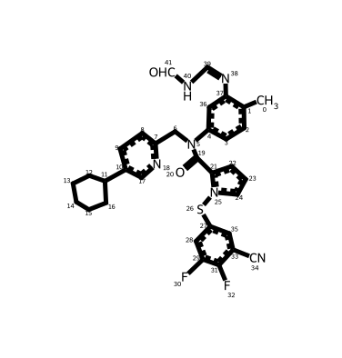 Cc1ccc(N(Cc2ccc(C3CCCCC3)cn2)C(=O)c2cccn2Sc2cc(F)c(F)c(C#N)c2)cc1/N=C\NC=O